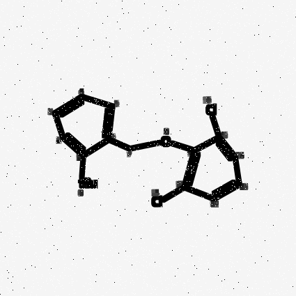 CC(C)(C)c1ccccc1COc1c(Cl)cccc1Cl